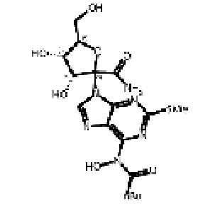 CCCCC(=O)N(O)c1nc(SC)nc2c1ncn2[C@]1(C(N)=O)O[C@H](CO)[C@@H](O)[C@H]1O